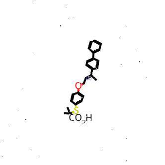 C/C(=C\COc1ccc(SC(C)(C)C(=O)O)cc1)c1ccc(-c2ccccc2)cc1